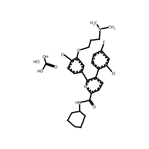 CN(C)CCCOc1cc(-c2nc(C(=O)NC3CCCCC3)ccc2-c2ccc(F)cc2Cl)ccc1Cl.Cl.O=C(O)O